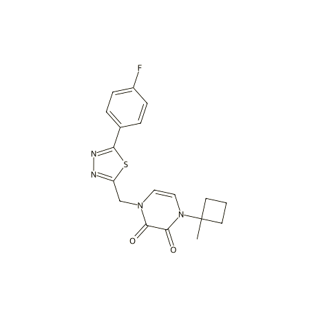 CC1(n2ccn(Cc3nnc(-c4ccc(F)cc4)s3)c(=O)c2=O)CCC1